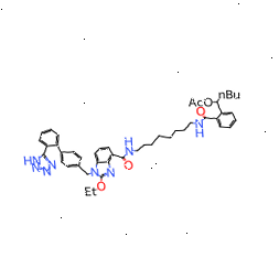 CCCCC(OC(C)=O)c1ccccc1C(=O)NCCCCCCCCNC(=O)c1cccc2c1nc(OCC)n2Cc1ccc(-c2ccccc2-c2nnn[nH]2)cc1